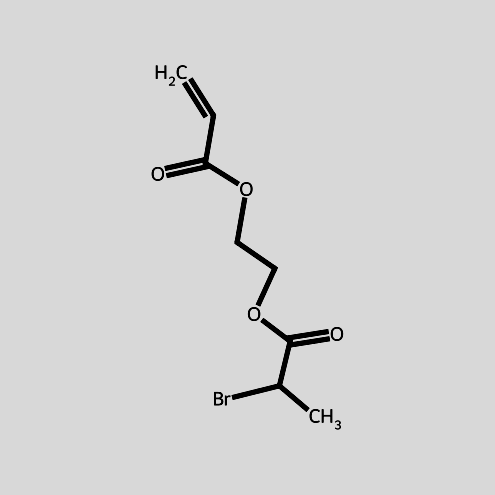 C=CC(=O)OCCOC(=O)C(C)Br